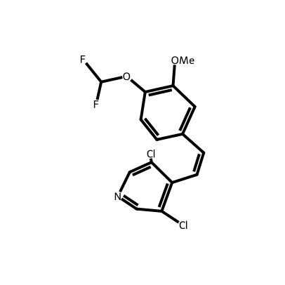 COc1cc(/C=C\c2c(Cl)cncc2Cl)ccc1OC(F)F